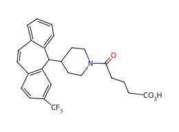 O=C(O)CCCC(=O)N1CCC(C2c3ccccc3C=Cc3ccc(C(F)(F)F)cc32)CC1